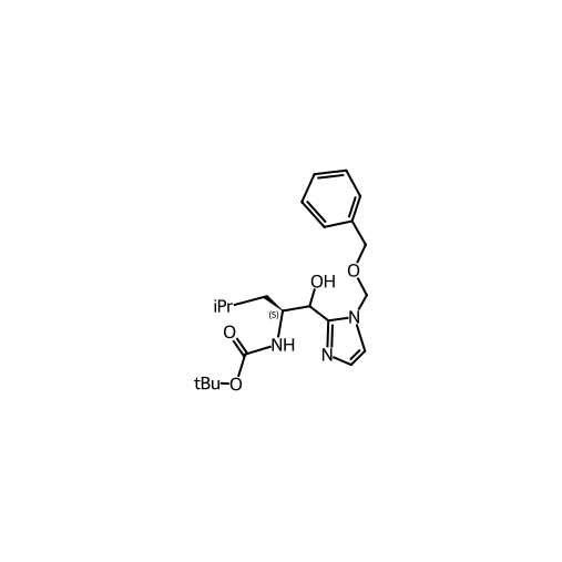 CC(C)C[C@H](NC(=O)OC(C)(C)C)C(O)c1nccn1COCc1ccccc1